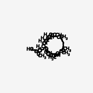 COC1CC(C)(O)CC(C)C(=O)CC(C(C)CC2CCC(OCCO)C(OC)C2)OC(=O)C2CCCCN2C(=O)C(=O)C2(O)OC(CCC2C)CC(OC)\C(C)=C/C=C/C=C/C(C)CC(C)C1=O